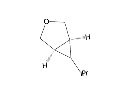 CC(C)C1[C@H]2COC[C@@H]12